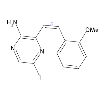 COc1ccccc1/C=C\c1nc(I)cnc1N